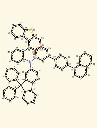 c1ccc(C2(c3ccccc3)c3ccccc3-c3ccc(N(c4cccc(-c5ccc(-c6cccc7ccccc67)cc5)c4)c4ccccc4-c4cccc5sc6ccccc6c45)cc32)cc1